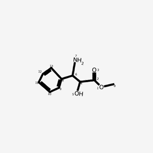 COC(=O)C(O)C(N)c1ccccc1